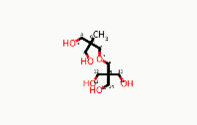 CC(CO)(CO)COCC(CO)(CO)CO